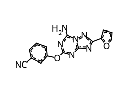 N#Cc1cccc(Oc2nc(N)n3nc(-c4ccco4)nc3n2)c1